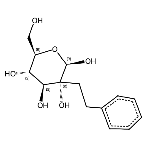 OC[C@H]1O[C@@H](O)[C@@](O)(CCc2ccccc2)[C@@H](O)[C@@H]1O